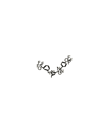 Cc1cc(-c2nc(-c3ccc(OC(F)(F)F)cc3)no2)nn1Cc1cccc(C(=O)C(F)(F)F)c1